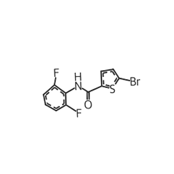 O=C(Nc1c(F)cccc1F)c1ccc(Br)s1